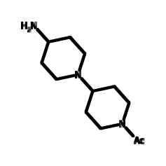 CC(=O)N1CCC(N2CCC(N)CC2)CC1